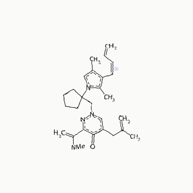 C=C/C=C\c1c(C)cn(C2(Cn3cc(CC(=C)C)c(=O)c(C(=C)NC)n3)CCCC2)c1C